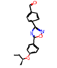 CC[C@H](C)Oc1ccc(-c2nc(-c3ccc(C=O)cc3)no2)cc1